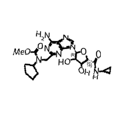 COC(=O)N(Cc1nc(N)c2ncn([C@@H]3O[C@H](C(=O)NC4CC4)C(O)C3O)c2n1)C1CCCC1